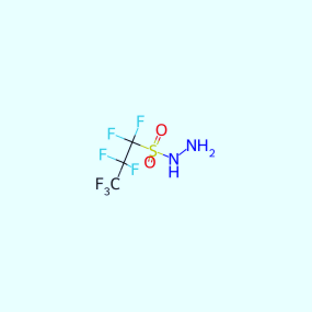 NNS(=O)(=O)C(F)(F)C(F)(F)C(F)(F)F